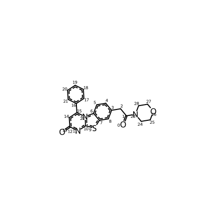 O=C(Cc1ccc2c(c1)sc1nc(=O)cc(-c3ccccc3)n12)N1CCOCC1